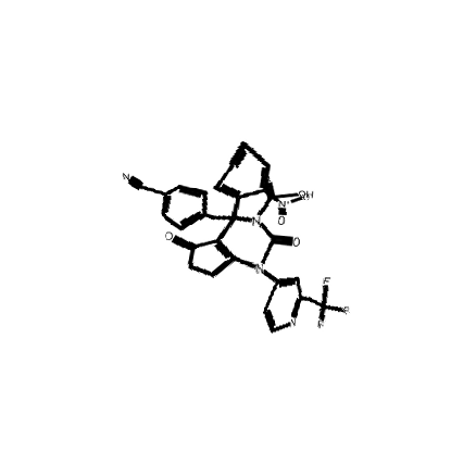 N#Cc1ccc(C2(c3ccccc3[N+](=O)[O-])C3=C(CCC3=O)N(c3ccnc(C(F)(F)F)c3)C(=O)N2C(=O)O)cc1